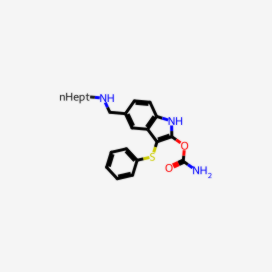 CCCCCCCNCc1ccc2[nH]c(OC(N)=O)c(Sc3ccccc3)c2c1